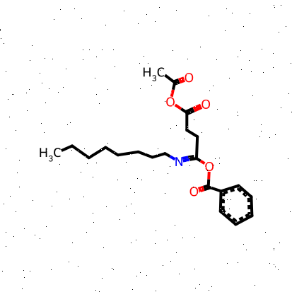 CCCCCCCCN=C(CCC(=O)OC(C)=O)OC(=O)c1ccccc1